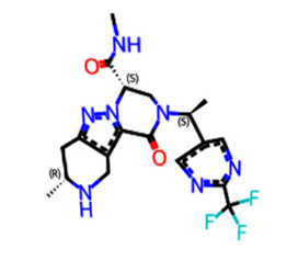 CNC(=O)[C@@H]1CN([C@@H](C)c2cnc(C(F)(F)F)nc2)C(=O)c2c3c(nn21)C[C@@H](C)NC3